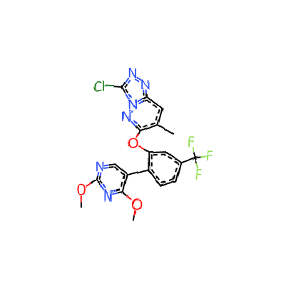 COc1ncc(-c2ccc(C(F)(F)F)cc2Oc2nn3c(Cl)nnc3cc2C)c(OC)n1